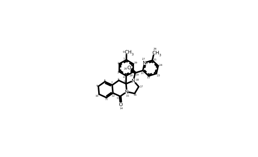 Cc1ccc(C23CC4=CCCC=C4C(=O)N2CCN3C(=O)c2cccc(C)n2)cc1